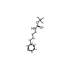 CC(C)(C)OC(=O)NCCCCc1cccnc1